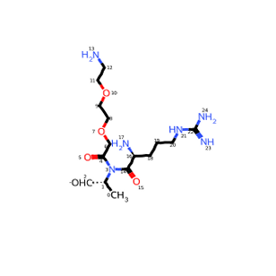 C[C@H]([C]=O)N(C(=O)COCCOCCN)C(=O)[C@@H](N)CCCNC(=N)N